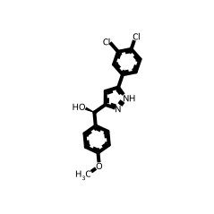 COc1ccc([C@@H](O)c2cc(-c3ccc(Cl)c(Cl)c3)[nH]n2)cc1